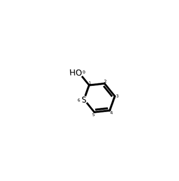 OC1C=[C]C=CS1